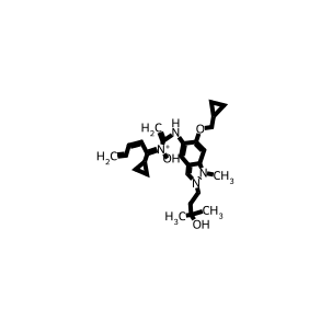 C=C/C=C\C(C1CC1)=[N+](\O)C(=C)NC1=CC2=CN(CCC(C)(C)O)N(C)C2C=C1OCC1CC1